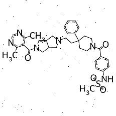 Cc1ncnc(C)c1C(=O)N1C=C2CN(CCC3(c4ccccc4)CCN(C(=O)c4ccc(NS(C)(=O)=O)cc4)CC3)CC2C1